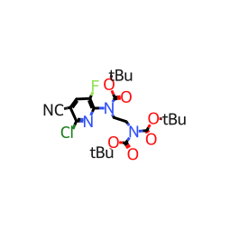 CC(C)(C)OC(=O)N(CCN(C(=O)OC(C)(C)C)c1nc(Cl)c(C#N)cc1F)C(=O)OC(C)(C)C